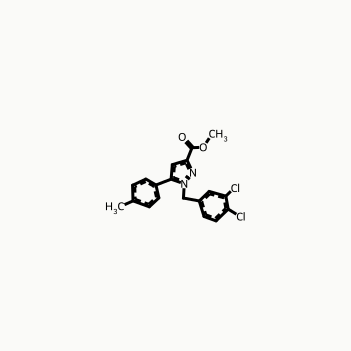 COC(=O)c1cc(-c2ccc(C)cc2)n(Cc2ccc(Cl)c(Cl)c2)n1